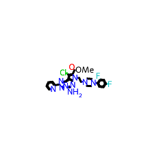 COC(=O)c1c(Cl)c2c(nc(N)n3nc(-c4ccccn4)nc23)n1CCN1CCN(c2ccc(F)cc2F)CC1